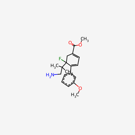 COC(=O)C1=CC=C(c2cccc(OC)c2)C(F)(C(C)(C)CN)C1